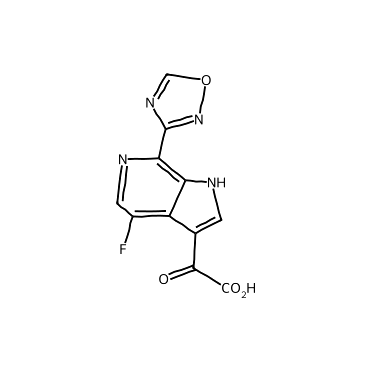 O=C(O)C(=O)c1c[nH]c2c(-c3ncon3)ncc(F)c12